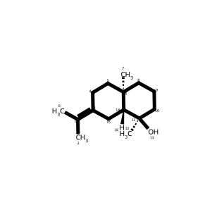 CC(C)=C1CC[C@@]2(C)CCC[C@@](C)(O)[C@@H]2C1